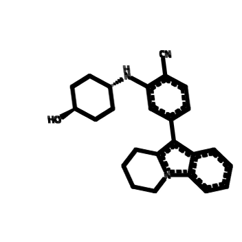 N#Cc1ccc(-c2c3n(c4ccccc24)CCCC3)cc1N[C@H]1CC[C@H](O)CC1